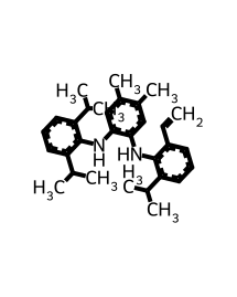 C=Cc1cccc(C(C)C)c1Nc1cc(C)c(C)cc1Nc1c(C(C)C)cccc1C(C)C